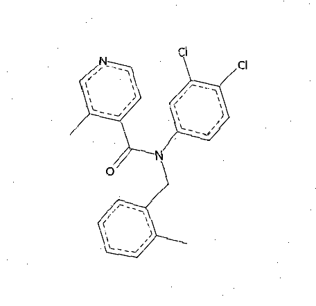 Cc1ccccc1CN(C(=O)c1ccncc1C)c1ccc(Cl)c(Cl)c1